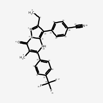 CCc1nn2c(=O)c(C)c(-c3ccc(C(F)(F)F)cc3)[nH]c2c1-c1ccc(C#N)cc1